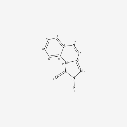 O=c1n(F)nc2cnc3ccccc3n12